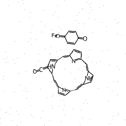 O=C1C=CC(=O)C=C1.O=C=C1C=C2C=C3C=CC(=N3)C=c3ccc([nH]3)=CC3=NC(=CC1N2)C=C3.[Fe]